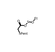 CCCCCCC(=O)OSOCC